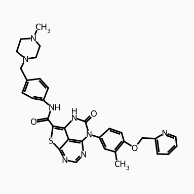 Cc1cc(N2C(=O)Nc3c(C(=O)Nc4ccc(CN5CCN(C)CC5)cc4)sc4ncnc2c34)ccc1OCc1ccccn1